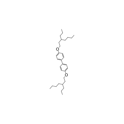 CCCCC(CCC)CCOc1ccc(-c2ccc(OCCC(CCC)CCCC)cc2)cc1